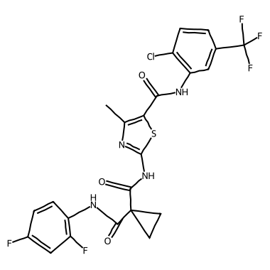 Cc1nc(NC(=O)C2(C(=O)Nc3ccc(F)cc3F)CC2)sc1C(=O)Nc1cc(C(F)(F)F)ccc1Cl